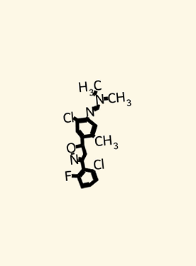 CCN(C)C=Nc1cc(C)c(C2CC(c3c(F)cccc3Cl)=NO2)cc1Cl